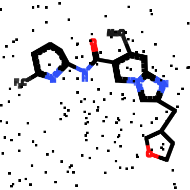 COc1cc2nc(CC3CCOC3)cn2cc1C(=O)Nc1cccc(C(F)(F)F)n1